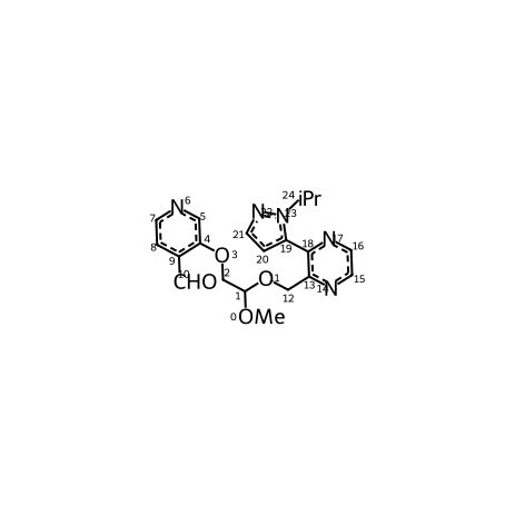 COC(COc1cnccc1C=O)OCc1nccnc1-c1ccnn1C(C)C